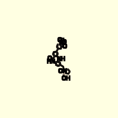 COc1cc(-c2ccc3c(c2)Nc2cc(CC(=O)N4CCC[C@@H]4CO)ccc2NC3=O)ccc1[N+](=O)[O-]